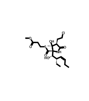 CC/C=C\[C@H](CC)[C@H](O)[C@@]1(C(=O)SCCC(=O)OC)NC(=O)[C@H](CCCl)[C@]1(C)O